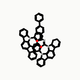 C1=Cc2c(n(-c3nc(-c4ccc(-c5ccccc5)cc4)nc(C4c5ccccc5-c5ccc6c7ccccc7n(-c7ccccc7)c6c54)n3)c3c2ccc2c4ccccc4n(-c4ccccc4)c23)CC1